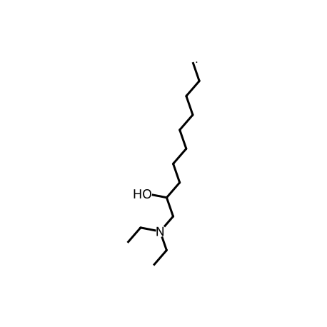 [CH2]CCCCCCCC(O)CN(CC)CC